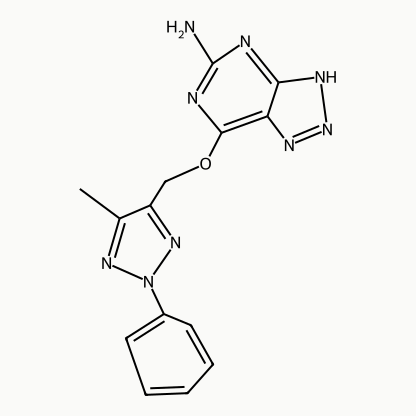 Cc1nn(-c2ccccc2)nc1COc1nc(N)nc2[nH]nnc12